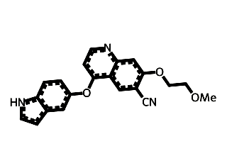 COCCOc1cc2nccc(Oc3ccc4[nH]ccc4c3)c2cc1C#N